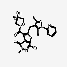 CCc1nn(C)c(=O)c2c(C(=O)N3C[C@](C)(O)CO3)c(Cc3c(C)nn(-c4ccccn4)c3C)sc12